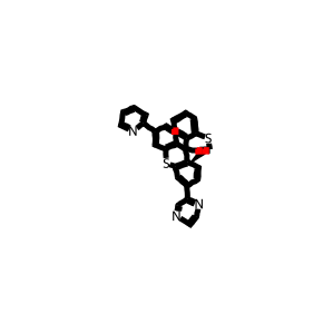 c1ccc(-c2ccc3c(c2)Sc2cc(-c4cnccn4)ccc2C32c3ccccc3Sc3ccccc32)nc1